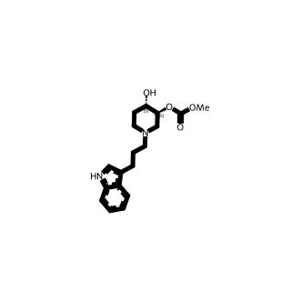 COC(=O)O[C@H]1CN(CCCc2c[nH]c3ccccc23)CC[C@@H]1O